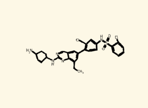 CCc1cc(-c2ccc(NS(=O)(=O)c3ccccc3Cl)cc2Cl)cc2cnc(NC3CCC(N)CC3)nc12